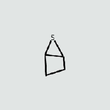 C1CC2SC12